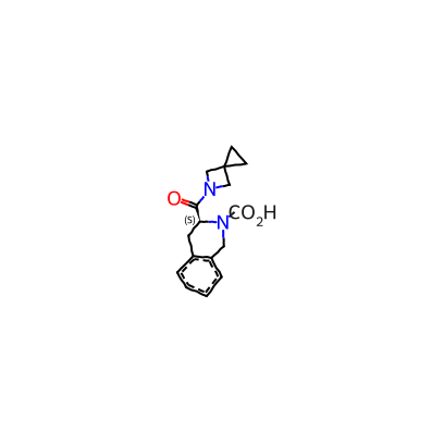 O=C([C@@H]1Cc2ccccc2CN1C(=O)O)N1CC2(CC2)C1